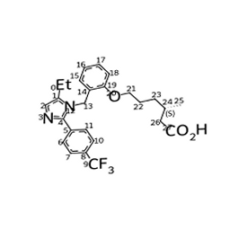 CCc1cnc(-c2ccc(C(F)(F)F)cc2)n1Cc1ccccc1OCCC[C@H](C)CC(=O)O